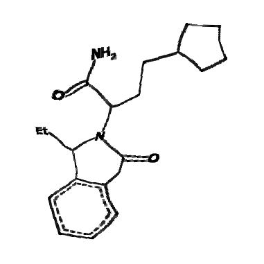 CCC1c2ccccc2C(=O)N1C(CCC1CCCC1)C(N)=O